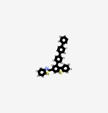 c1ccc(-c2ccc(-c3ccc(-c4cc(-c5nc6ccccc6s5)cc5sc6ccccc6c45)cc3)cc2)cc1